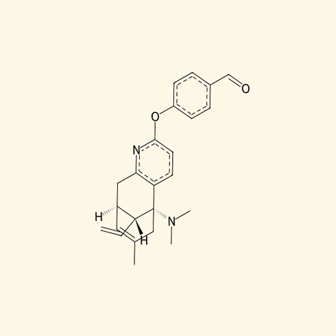 C=C[C@@H]1[C@H]2C=C(C)C[C@]1(N(C)C)c1ccc(Oc3ccc(C=O)cc3)nc1C2